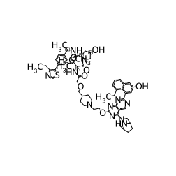 CCc1ncsc1-c1ccc([C@H](C)NC(=O)[C@@H]2C[C@@H](O)CN2C(=O)[C@@H](NC(=O)COCC2CCN(CCOc3nc(N4CC5CCC(C4)N5)c4cnc(-c5cc(O)cc6cccc(CC)c56)nc4n3)CC2)C(C)(C)C)cc1